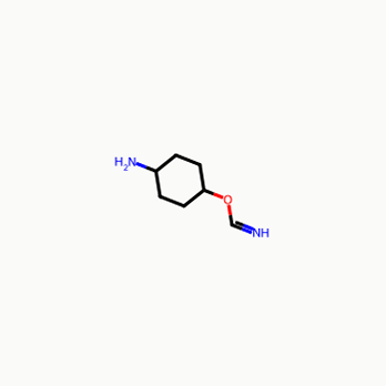 N=COC1CCC(N)CC1